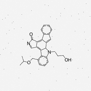 CC(C)OCc1cccc2c1C1=C3C=NC(=O)C3=C3C(=Cc4ccccc43)C1N2CCCO